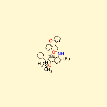 C[SiH](C)OC(c1ccc(C(C)(C)C)c(NC(=O)CC2c3ccccc3Oc3ccccc32)c1)C(CC1CCCCC1)C(C)(C)C